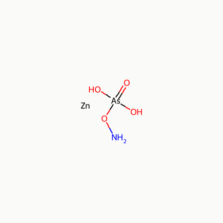 NO[As](=O)(O)O.[Zn]